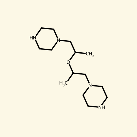 CC(CN1CCNCC1)OC(C)CN1CCNCC1